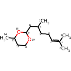 CC(C)=CCCC(C)CC1OCCC(C)O1